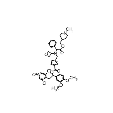 COc1ccc(C(Cc2c(Cl)c[n+]([O-])cc2Cl)OC(=O)c2ccc(CN(C3COC3)C(C(=O)OCC3CCN(C)CC3)c3ccccc3)s2)cc1OC